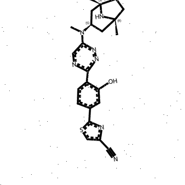 CN(c1cnc(-c2ccc(-c3nc(C#N)cs3)cc2O)nn1)[C@H]1C[C@]2(C)CC[C@](C)(C1)N2